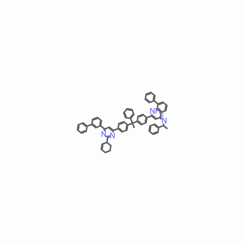 CC(/N=C(\C=C(/N)c1ccc(C(C)(c2ccccc2)c2ccc(-c3cc(-c4cccc(-c5ccccc5)c4)nc(C4C=CCCC4)n3)cc2)cc1)c1cccc(-c2ccccc2)c1)c1ccccc1